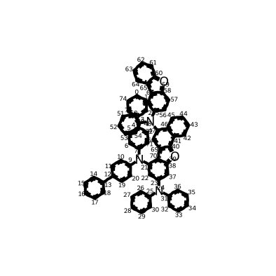 c1ccc(-c2ccc(N(c3ccc(-c4ccccc4)cc3)c3cc(N(c4ccccc4)c4ccccc4)cc4oc5c6ccccc6c(N(c6ccccc6)c6ccc7oc8ccccc8c7c6)cc5c34)cc2)cc1